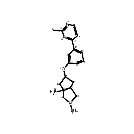 BN1CC2CC(Oc3cccc(-c4ccnc(C)n4)c3)CC2(B)C1